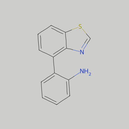 Nc1ccccc1-c1cccc2scnc12